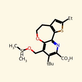 CCc1cc2c(s1)-c1nc(C(=O)O)c(C(C)(C)C)c(CO[SiH](C)C)c1OCC2